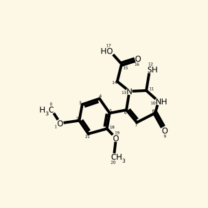 COc1ccc(C2=CC(=O)NC(S)N2CC(=O)O)c(OC)c1